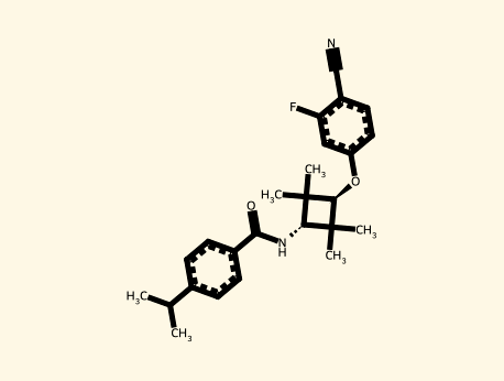 CC(C)c1ccc(C(=O)N[C@H]2C(C)(C)[C@H](Oc3ccc(C#N)c(F)c3)C2(C)C)cc1